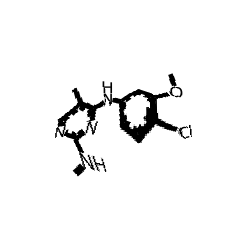 CNc1ncc(C)c(Nc2ccc(Cl)c(OC)c2)n1